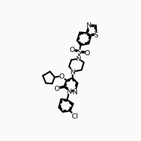 O=c1c(OC2CCCC2)c(N2CCN(S(=O)(=O)c3ccc4ncsc4c3)CC2)cnn1-c1cccc(Cl)c1